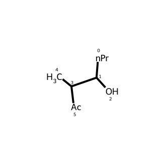 CCCC(O)C(C)C(C)=O